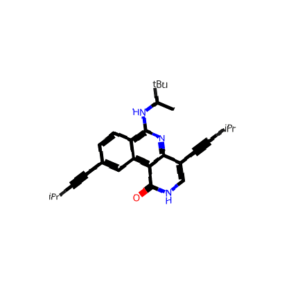 CC(C)C#Cc1ccc2c(NC(C)C(C)(C)C)nc3c(C#CC(C)C)c[nH]c(=O)c3c2c1